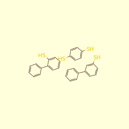 Sc1ccc(S)cc1.Sc1cccc(-c2ccccc2)c1.Sc1ccccc1-c1ccccc1